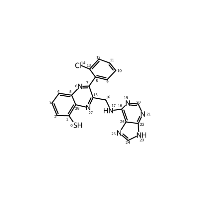 Sc1cccc2nc(-c3ccccc3Cl)c(CNc3ncnc4[nH]cnc34)nc12